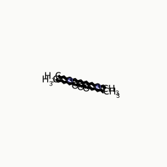 CC/C=C/CCCCCCCC/C=C/CCCC.CCCCCCCOCOCOCCCCCCC